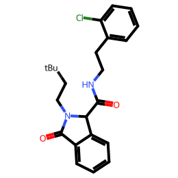 CC(C)(C)CCN1C(=O)c2ccccc2C1C(=O)NCCc1ccccc1Cl